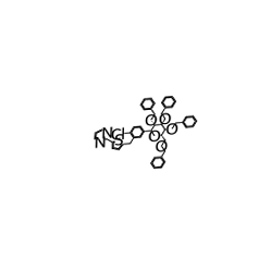 Clc1ccc(C2O[C@H](COCc3ccccc3)[C@@H](OCc3ccccc3)[C@H](OCc3ccccc3)[C@H]2OCc2ccccc2)cc1Cc1ccc(-c2ncccn2)s1